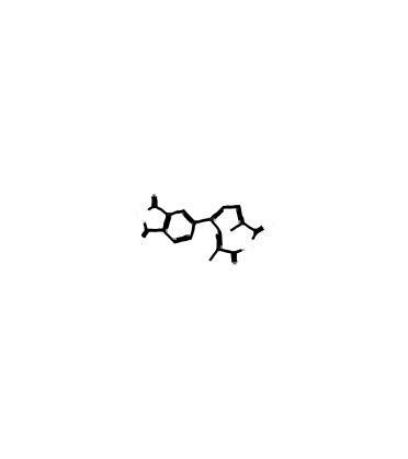 C\C1=C/C=C(c2ccc3c(c2)C(=O)OC3=O)\C=C(/C)C(=O)OC1=O